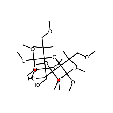 COCC(C)(C)C(OC(C(C)(C)COC)(C(CO)(OC)OC)C(OC)(OC)OC)(C(CO)(OC)OC)C(OC)(OC)OC